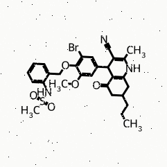 CCCC1CC(=O)C2=C(C1)NC(C)=C(C#N)C2c1cc(Br)c(OCc2ccccc2NS(C)(=O)=O)c(OC)c1